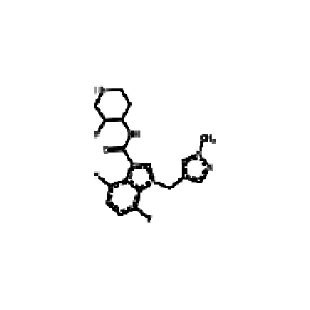 Cn1cc(Cn2cc(C(=O)NC3CCNCC3F)c3c(F)ccc(F)c32)cn1